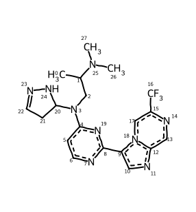 CC(CN(c1ccnc(-c2cnc3cnc(C(F)(F)F)cn23)n1)C1CC=NN1)N(C)C